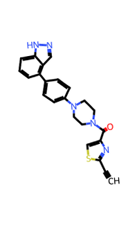 C#Cc1nc(C(=O)N2CCN(c3ccc(-c4cccc5[nH]ncc45)cc3)CC2)cs1